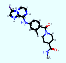 [CH2]CNC(=O)C1CCN(C(=O)c2ccc(Nc3nccn4c(I)cnc34)cc2C)CC1